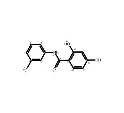 CC(=O)c1cccc(NC(=O)c2ccc(O)cc2O)c1